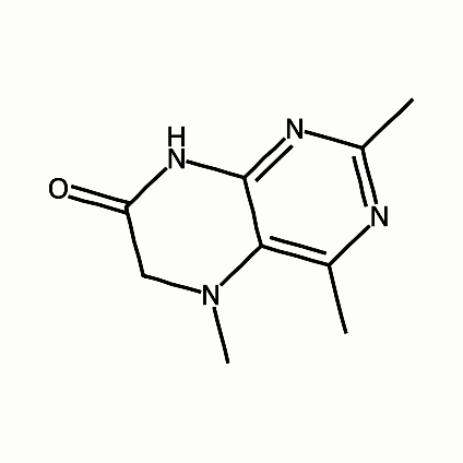 Cc1nc(C)c2c(n1)NC(=O)CN2C